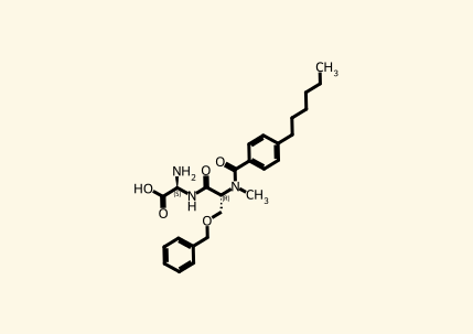 CCCCCCc1ccc(C(=O)N(C)[C@H](COCc2ccccc2)C(=O)N[C@H](N)C(=O)O)cc1